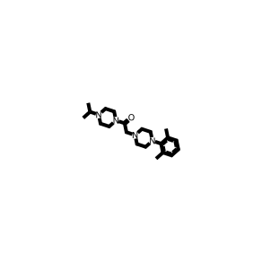 Cc1cccc(C)c1N1CCN(CC(=O)N2CCN(C(C)C)CC2)CC1